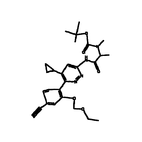 C#Cc1ccc(-c2nnc(NC(=O)C(C)N(C)C(=O)OC(C)(C)C)cc2C2CC2)c(OCOCC)c1